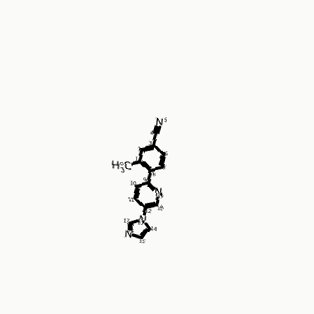 Cc1cc(C#N)ccc1-c1ccc(-n2ccnc2)cn1